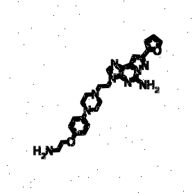 NCCOc1ccc(N2CCN(CCn3cnc4c3nc(N)n3nc(-c5ccco5)cc43)CC2)cc1